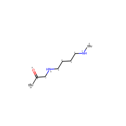 CC(C)(C)NCCCCNCC(=O)C(C)(C)C